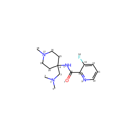 CN(C)CC1(NC(=O)c2ncccc2F)CCN(C)CC1